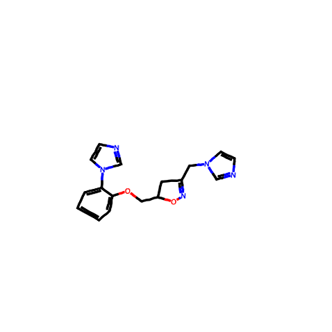 c1ccc(-n2ccnc2)c(OCC2CC(Cn3ccnc3)=NO2)c1